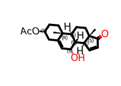 CC(=O)O[C@H]1CC[C@@]2(C)C(=C[C@@H](O)[C@@H]3[C@@H]2CC[C@]2(C)C(=O)C=C[C@@H]32)C1